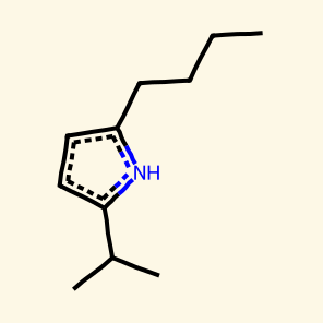 CCCCc1ccc(C(C)C)[nH]1